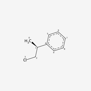 C[C@H](CCl)c1ccccc1